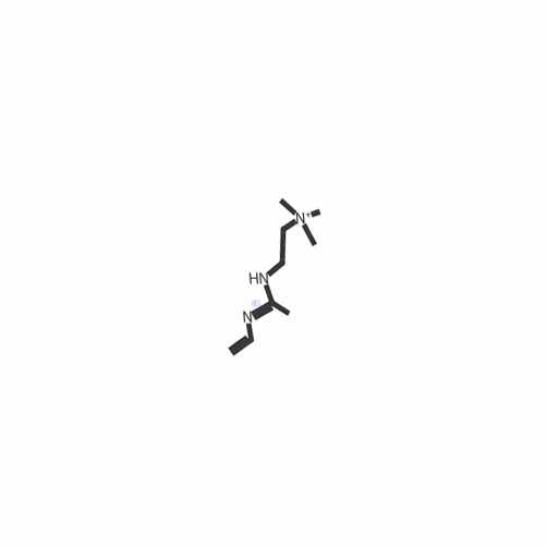 C=C/N=C(\C)NCC[N+](C)(C)C